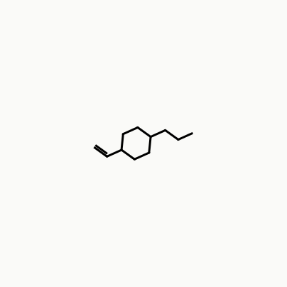 C=CC1CCC(CCC)CC1